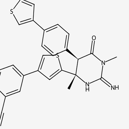 CN1C(=N)N[C@](C)(c2cc(-c3cccc(C#N)c3)cs2)[C@@H](c2ccc(-c3ccsc3)cc2)C1=O